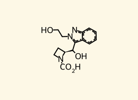 O=C(O)N1CC[C@H]1C(O)c1c2ccccc2nn1CCO